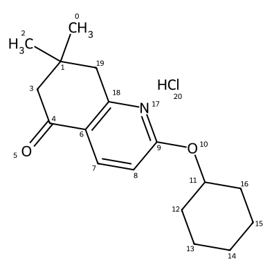 CC1(C)CC(=O)c2ccc(OC3CCCCC3)nc2C1.Cl